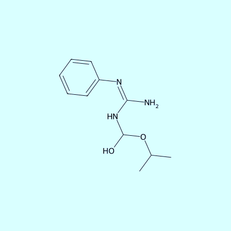 CC(C)OC(O)NC(N)=Nc1ccccc1